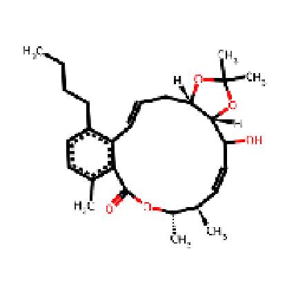 CCCCc1ccc(C)c2c1/C=C/C[C@@H]1OC(C)(C)O[C@@H]1C(O)/C=C\[C@@H](C)[C@H](C)OC2=O